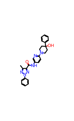 Cc1nn(-c2ccccc2)nc1C(=O)Nc1ccc(N2CCC(O)(c3ccccc3)CC2)nc1